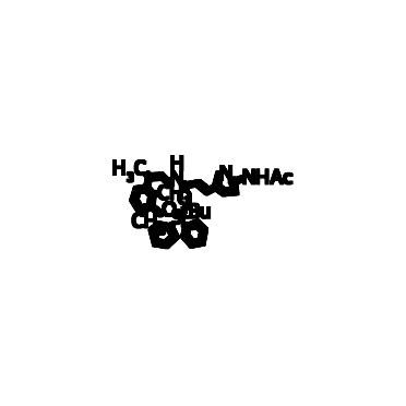 CC(=O)Nc1ccc(C=CC(=O)NCC=C(C)c2ccc(C)c(CO[Si](c3ccccc3)(c3ccccc3)C(C)(C)C)c2C)cn1